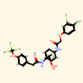 O=C(COc1ccc(Cl)c(F)c1)NC12CCC(NC(=O)Cc3ccc(OC(F)(F)F)cc3)(CC1)C(O)C2